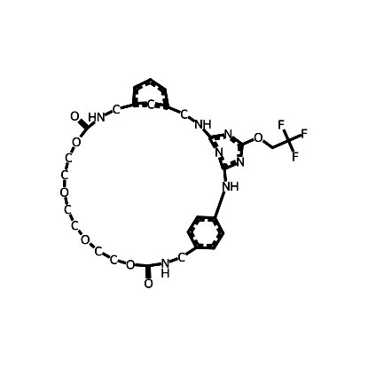 O=C1NCc2ccc(cc2)Nc2nc(nc(OCC(F)(F)F)n2)NCc2cccc(c2)CNC(=O)OCCOCCOCCO1